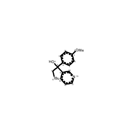 COc1ccc(C(O)(CC(C)(C)C)c2cccnc2)cc1